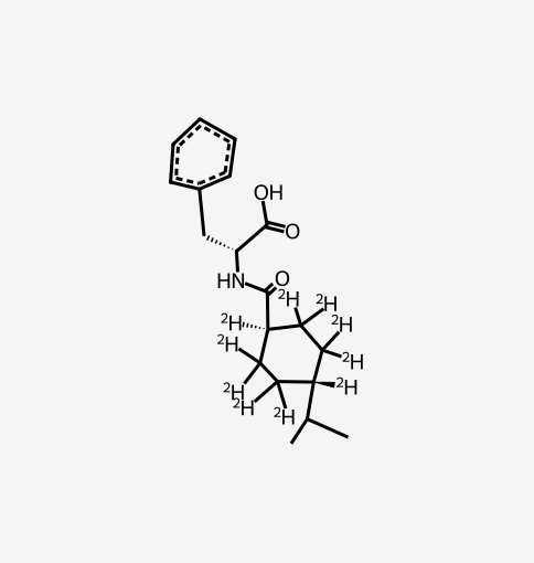 [2H]C1([2H])C([2H])([2H])[C@]([2H])(C(C)C)C([2H])([2H])C([2H])([2H])[C@@]1([2H])C(=O)N[C@H](Cc1ccccc1)C(=O)O